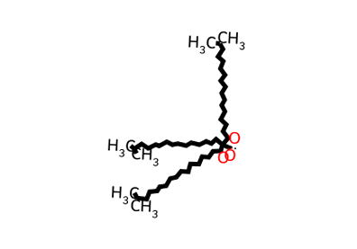 CC(C)CCCCCCCCCCCCCCC(=O)C([C]=O)(CCCCCCCCCCCCCC(C)C)C(=O)CCCCCCCCCCCCCCC(C)C